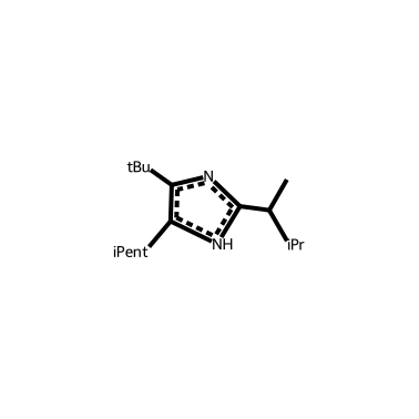 CCCC(C)c1[nH]c(C(C)C(C)C)nc1C(C)(C)C